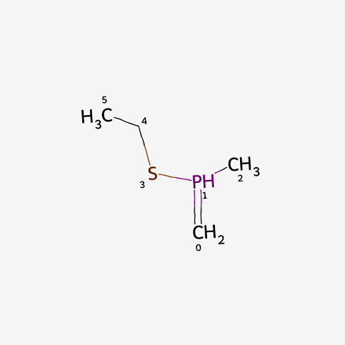 C=[PH](C)SCC